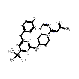 C=C(C)/C=C(\N=C/N)N1CCC(Nc2nc(Cc3ccc(Cl)cc3)cc(C(C)(C)O)n2)CC1